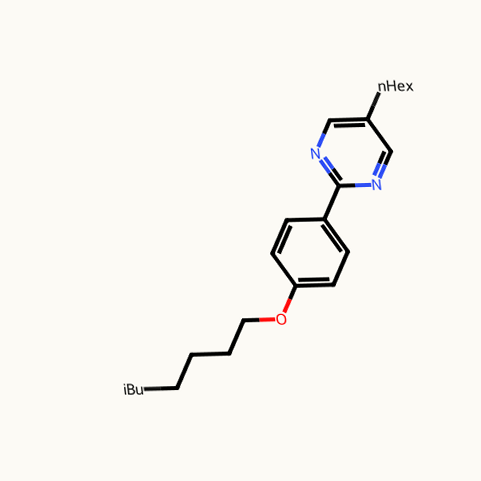 CCCCCCc1cnc(-c2ccc(OCCCCC(C)CC)cc2)nc1